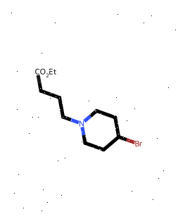 CCOC(=O)CCCN1CCC(Br)CC1